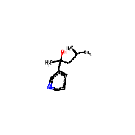 CC(C)CC(C)(O)c1cccnc1